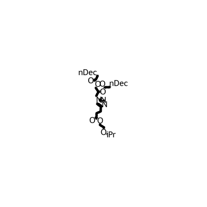 CCCCCCCCCCCC(=O)OCC(Cn1cc(CCC(=O)OCCOC(C)C)nn1)OC(=O)CCCCCCCCCCC